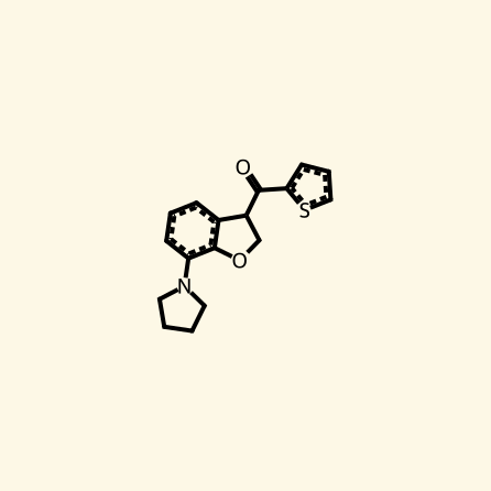 O=C(c1cccs1)C1COc2c1cccc2N1CCCC1